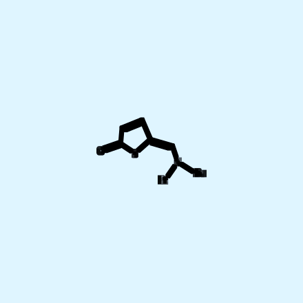 CCC(C)N(/C=C1/C=CC(=O)S1)CC